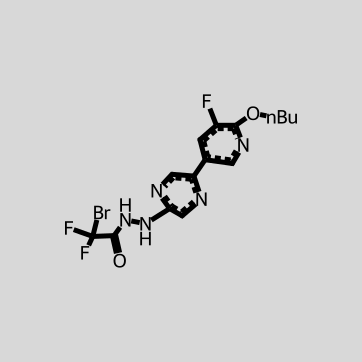 CCCCOc1ncc(-c2cnc(NNC(=O)C(F)(F)Br)cn2)cc1F